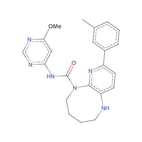 COc1cc(NC(=O)N2CCCCNc3ccc(-c4cccc(C)c4)nc32)ncn1